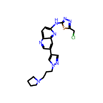 ClCc1nnc(Nc2ccc3ncc(-c4cnn(CCCN5CCCC5)c4)cc3n2)s1